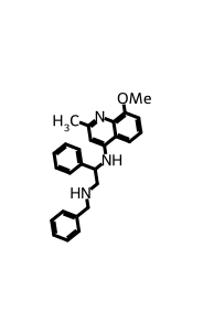 COc1cccc2c(NC(CNCc3ccccc3)c3ccccc3)cc(C)nc12